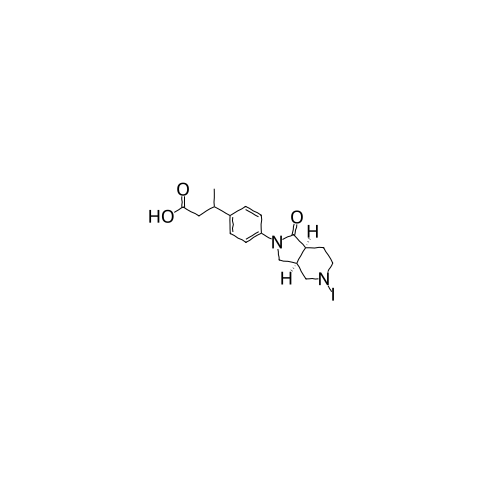 CC(CC(=O)O)c1ccc(N2C[C@@H]3CN(I)CC[C@@H]3C2=O)cc1